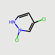 ClC1=CN(Cl)NC=C1